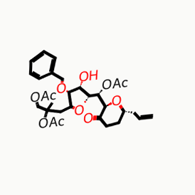 C=CC[C@@H]1CCC(=O)[C@@H]([C@@H](OC(C)=O)[C@@H]2OC(CC(C)(COC(C)=O)OC(C)=O)[C@H](OCc3ccccc3)[C@@H]2O)O1